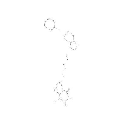 Cn1c(=O)c2c(ncn2CCCNCCc2c[nH]c3ccc(OCc4ccccc4)cc23)n(C)c1=O